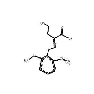 CCC/C(=C\Cc1c(OC)cccc1OC)C(=O)O